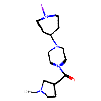 CCN1CCC(C(=O)N2CCN(C3CCN(I)CC3)CC2)C1